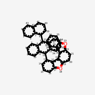 c1ccc2c(-c3c4ccccc4c(-c4cccc5oc6ccc7oc8ccccc8c7c6c45)c4ccccc34)cccc2c1